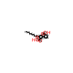 CCCCCCCCCOc1ccc(-c2ccccc2C(=O)O)cc1C(=O)O